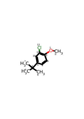 COc1ccc(C(C)(C)C)cc1Cl